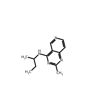 CCC(C)Nc1nc(C)nc2ccncc12